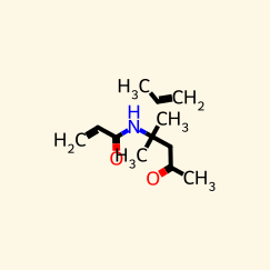 C=CC.C=CC(=O)NC(C)(C)CC(C)=O